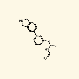 C=CNN(C)Nc1ccnc(-c2ccc3c(c2)CNC3)n1